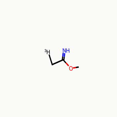 [3H]CC(=N)OC